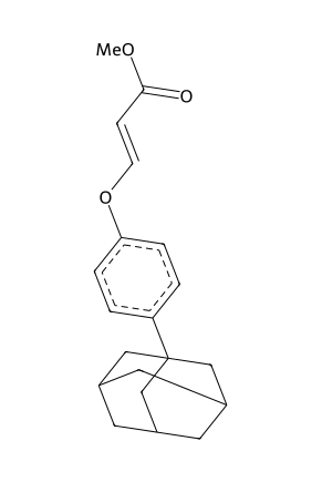 COC(=O)/C=C/Oc1ccc(C23CC4CC(CC(C4)C2)C3)cc1